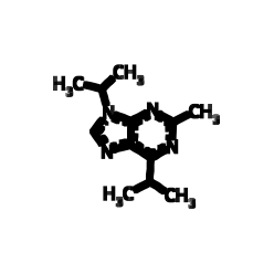 Cc1nc(C(C)C)c2ncn(C(C)C)c2n1